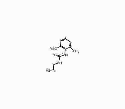 COc1cccc(C)c1NC(=O)NCCS